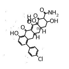 NC(=O)C1C(=O)[C@@]2(O)C(O)=C3C(=O)c4c(O)ccc(-c5ccc(Cl)cc5)c4C[C@H]3C[C@H]2CC1O